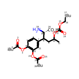 CCC(C)C(=O)Oc1ccc(C(CC(C)OC(=O)OCC(C)(C)C)[C@H](N)C(=O)O)cc1OC(=O)C(C)CC